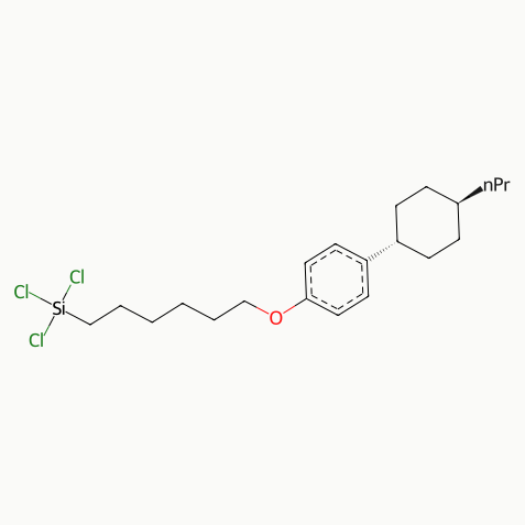 CCC[C@H]1CC[C@H](c2ccc(OCCCCCC[Si](Cl)(Cl)Cl)cc2)CC1